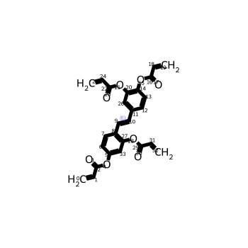 C=CC(=O)Oc1ccc(/C=C/c2ccc(OC(=O)C=C)c(OC(=O)C=C)c2)c(OC(=O)C=C)c1